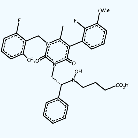 COc1cccc(-c2c(C)n(Cc3c(F)cccc3C(F)(F)F)c(=O)n(C[C@@H](c3ccccc3)N(O)CCCC(=O)O)c2=O)c1F